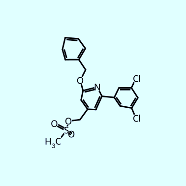 CS(=O)(=O)OCc1cc(OCc2ccccc2)nc(-c2cc(Cl)cc(Cl)c2)c1